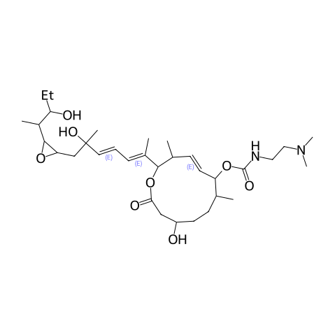 CCC(O)C(C)C1OC1CC(C)(O)/C=C/C=C(\C)C1OC(=O)CC(O)CCC(C)C(OC(=O)NCCN(C)C)/C=C/C1C